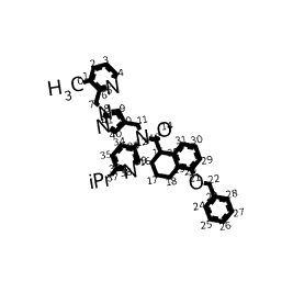 Cc1cccnc1Cn1cc(CN(C(=O)C2CCCc3c(OCc4ccccc4)cccc32)c2ccc(C(C)C)nc2)cn1